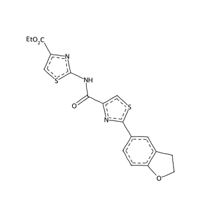 CCOC(=O)c1csc(NC(=O)c2csc(-c3ccc4c(c3)CCO4)n2)n1